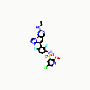 CCNc1ncc2cc(-c3c(F)ccc(NS(=O)(=O)c4cc(Cl)cnc4OC)c3F)c3nncn3c2n1